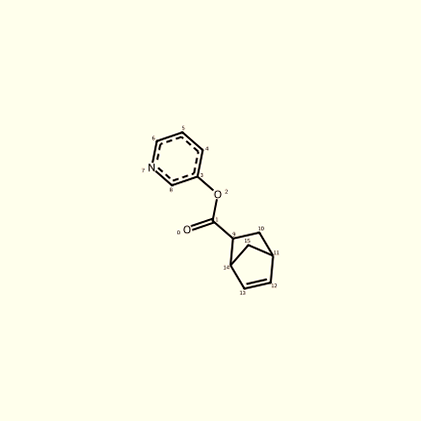 O=C(Oc1cccnc1)C1CC2C=CC1C2